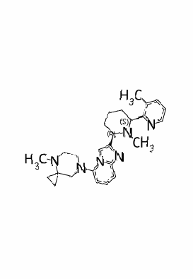 Cc1cccnc1[C@@H]1CCC[C@H](c2cn3c(N4CCN(C)C5(CC5)C4)cccc3n2)N1C